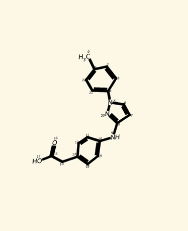 Cc1ccc(-n2ccc(Nc3ccc(CC(=O)O)cc3)n2)cc1